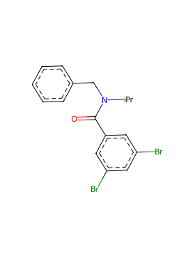 CC(C)N(Cc1ccccc1)C(=O)c1cc(Br)cc(Br)c1